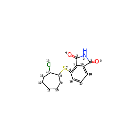 O=C1NC(=O)c2c(SC3CCCCCC3Cl)cccc21